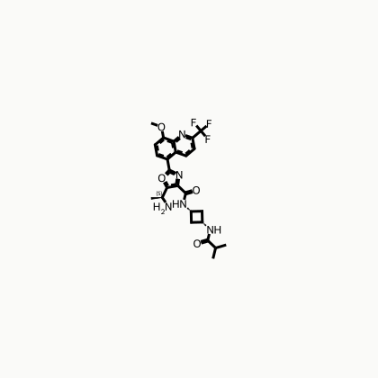 COc1ccc(-c2nc(C(=O)N[C@H]3C[C@@H](NC(=O)C(C)C)C3)c([C@H](C)N)o2)c2ccc(C(F)(F)F)nc12